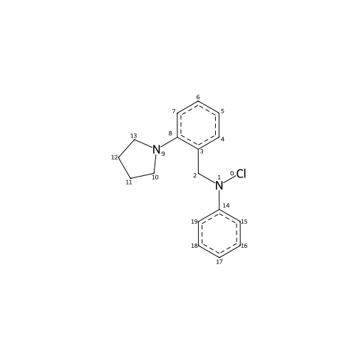 ClN(Cc1ccccc1N1CCCC1)c1ccccc1